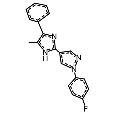 Cc1[nH]c(-c2cnn(-c3ccc(F)cc3)c2)nc1-c1ccccc1